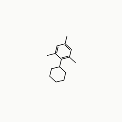 Cc1cc(C)c([C]2CCCCC2)c(C)c1